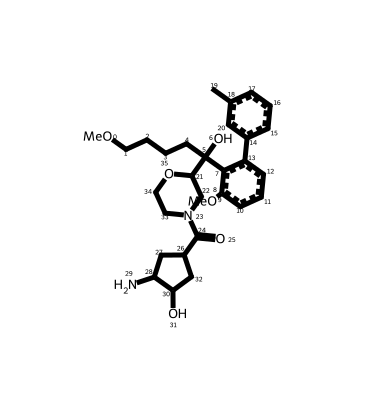 COCCCCC(O)(c1c(OC)cccc1-c1cccc(C)c1)C1CN(C(=O)C2CC(N)C(O)C2)CCO1